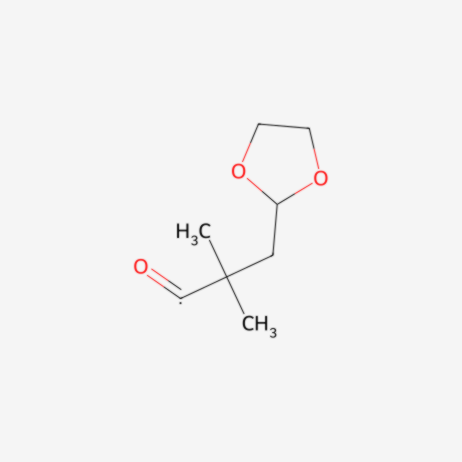 CC(C)([C]=O)CC1OCCO1